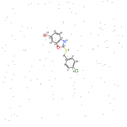 Clc1ccc(CSc2nc3ccc(Br)cc3o2)cc1